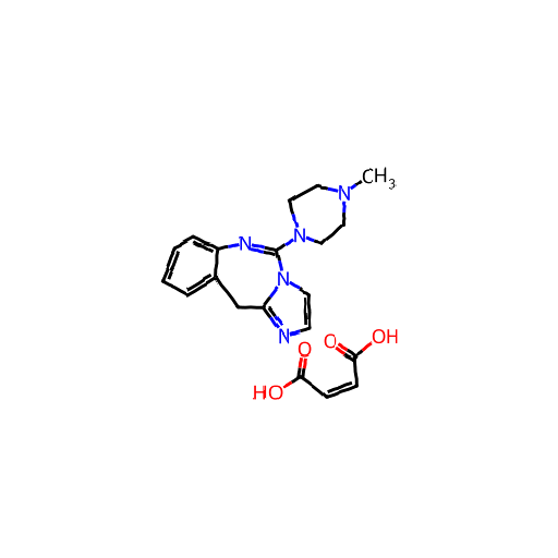 CN1CCN(C2=Nc3ccccc3Cc3nccn32)CC1.O=C(O)/C=C\C(=O)O